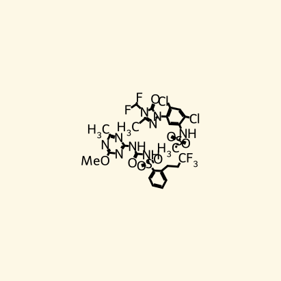 COc1nc(C)nc(NC(=O)NS(=O)(=O)c2ccccc2CCC(F)(F)F)n1.Cc1nn(-c2cc(NS(C)(=O)=O)c(Cl)cc2Cl)c(=O)n1C(F)F